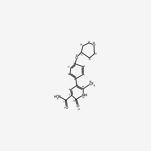 NC(=O)c1cc(-c2ccc(OC3CCOCC3)cc2)c(C(F)(F)F)[nH]c1=O